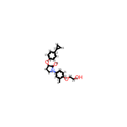 Cc1cc(N2CCC(Oc3ccc(C4CC4)cc3)C2=O)ccc1OCCO